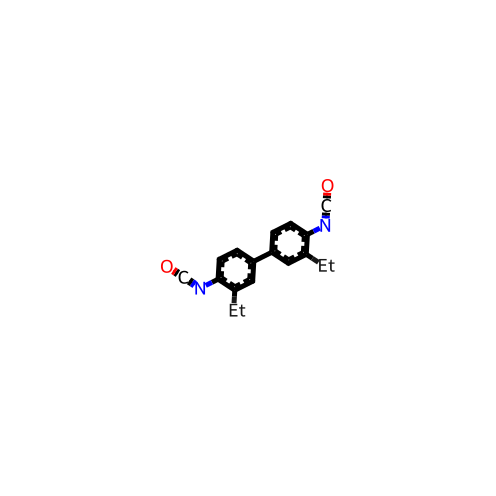 CCc1cc(-c2ccc(N=C=O)c(CC)c2)ccc1N=C=O